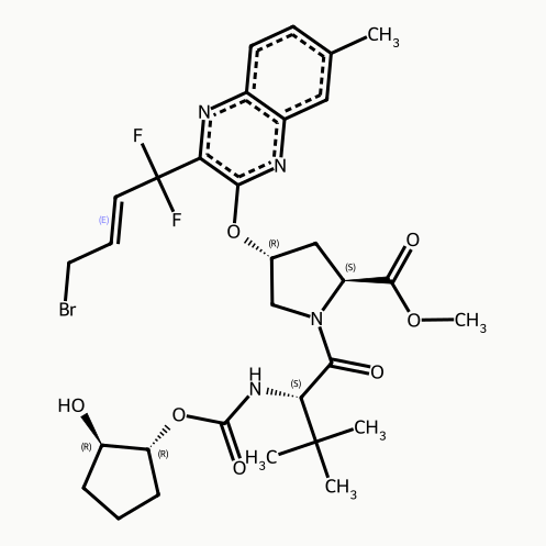 COC(=O)[C@@H]1C[C@@H](Oc2nc3cc(C)ccc3nc2C(F)(F)/C=C/CBr)CN1C(=O)[C@@H](NC(=O)O[C@@H]1CCC[C@H]1O)C(C)(C)C